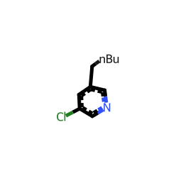 CCCCCc1cncc(Cl)c1